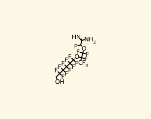 N=C(N)C(F)OC(F)(F)C(F)(OC(F)(F)C(F)(F)C(F)(F)C(F)(F)C(F)(F)CO)C(F)(F)F